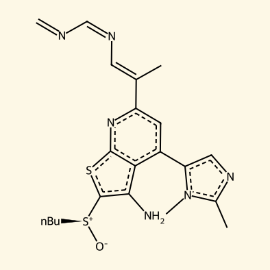 C=N/C=N\C=C(/C)c1cc(-c2cnc(C)n2C)c2c(N)c([S@@+]([O-])CCCC)sc2n1